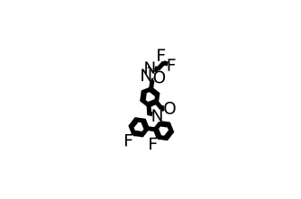 O=C1c2cc(-c3nnc(C(F)F)o3)ccc2CN1c1cccc(F)c1-c1cccc(F)c1